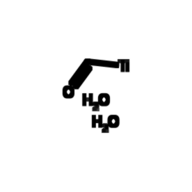 O.O.O=[CH][Ti]